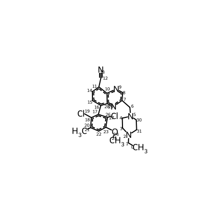 CCN1CCN(Cc2cnc3c(C#N)ccc(-c4c(Cl)c(C)cc(OC)c4Cl)c3n2)CC1